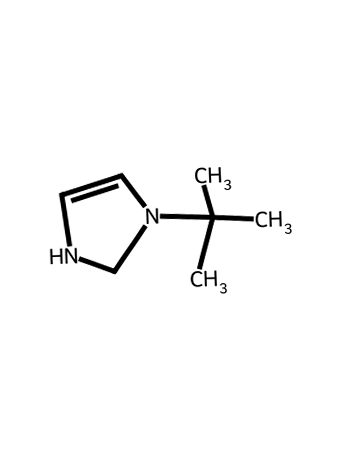 CC(C)(C)N1C=CNC1